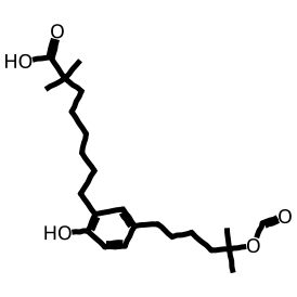 CC(C)(CCCCc1ccc(O)c(CCCCCCC(C)(C)C(=O)O)c1)OC=O